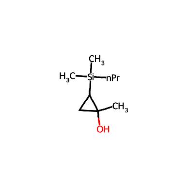 CCC[Si](C)(C)C1CC1(C)O